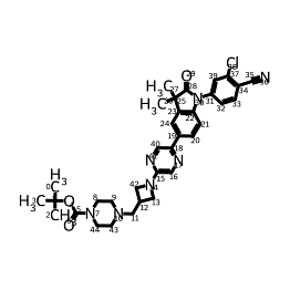 CC(C)(C)OC(=O)N1CCN(CC2CN(c3cnc(-c4ccc5c(c4)C(C)(C)C(=O)N5c4ccc(C#N)c(Cl)c4)cn3)C2)CC1